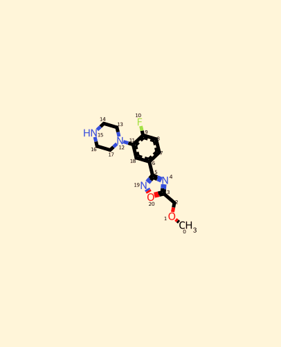 COCc1nc(-c2ccc(F)c(N3CCNCC3)c2)no1